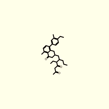 CCCC(CC1CC(=O)c2c(C)ccc(-c3ccc(CC)c(C)c3)c2C1)C(CC)C(=O)CC(C)=O